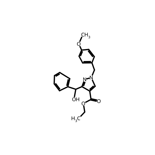 CCOC(=O)c1cn(Cc2ccc(OC)cc2)nc1C(O)c1ccccc1